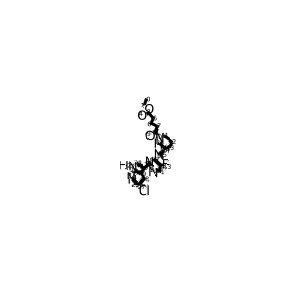 CCOC(=O)CCCC(=O)N1CCC[C@@H](CNc2nc(-c3c[nH]c4ncc(Cl)cc34)ncc2F)C1